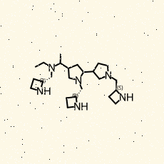 CCN(C[C@H]1CCN1)C(C)C1CC(C2CCN(C[C@@H]3CCN3)C2)N(C[C@H]2CCN2)C1